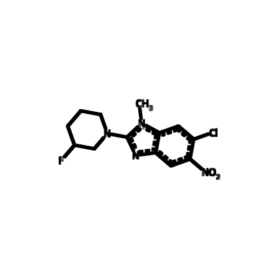 Cn1c(N2CCCC(F)C2)nc2cc([N+](=O)[O-])c(Cl)cc21